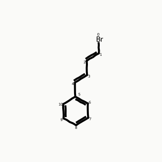 BrC=C/C=C/c1ccccc1